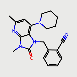 Cc1cc(N2CCCCC2)c2c(n1)n(C)c(=O)n2Cc1ccccc1C#N